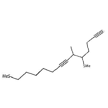 [C]#CCCC(SC)C(C)C#CCCCCCSC